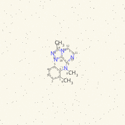 Cc1ccccc1N(C)c1nccn2c(C)nnc12